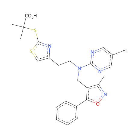 CCc1cnc(N(CCc2csc(SC(C)(C)C(=O)O)n2)Cc2c(C)noc2-c2ccccc2)nc1